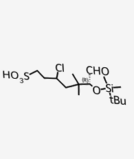 CC(C)(CC(Cl)CCS(=O)(=O)O)[C@H](C=O)O[Si](C)(C)C(C)(C)C